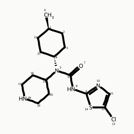 C[C@H]1CC[C@H](N(C(=O)Nc2ncc(Cl)s2)C2CCNCC2)CC1